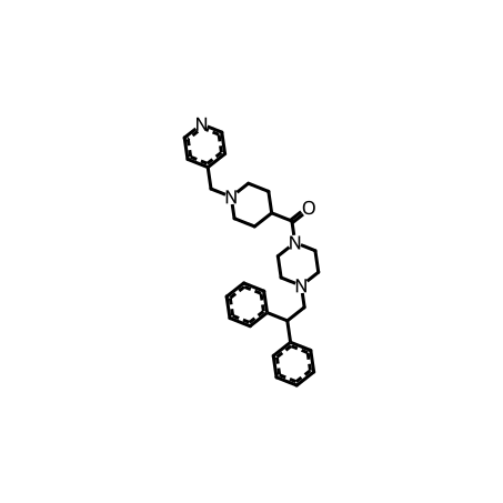 O=C(C1CCN(Cc2ccncc2)CC1)N1CCN(CC(c2ccccc2)c2ccccc2)CC1